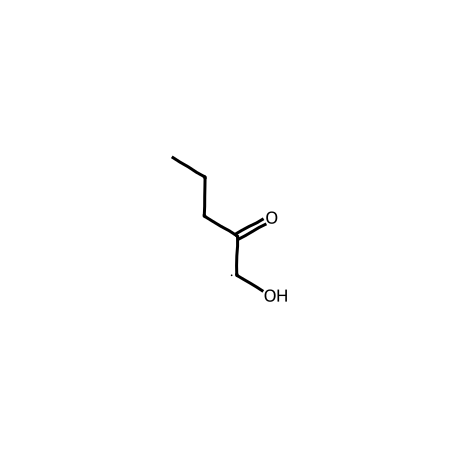 CCCC(=O)[CH]O